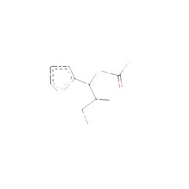 CC(CO)C(OC(N)=O)c1ccco1